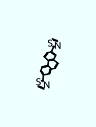 c1csc(-c2ccc3c(ccc4cc(-c5nccs5)ccc43)c2)n1